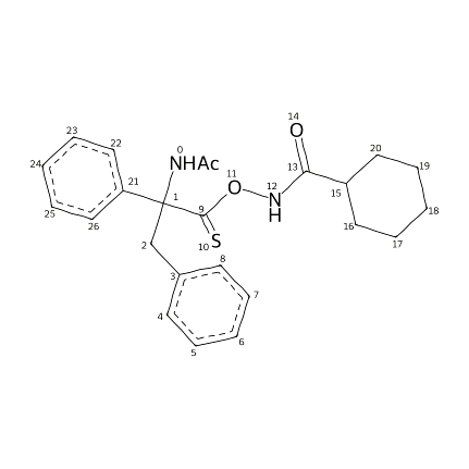 CC(=O)NC(Cc1ccccc1)(C(=S)ONC(=O)C1CCCCC1)c1ccccc1